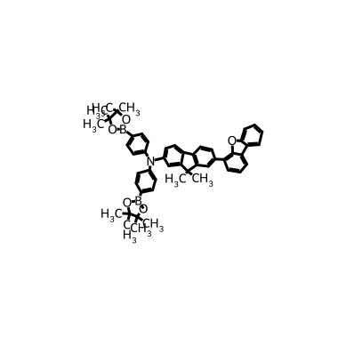 CC1(C)c2cc(-c3cccc4c3oc3ccccc34)ccc2-c2ccc(N(c3ccc(B4OC(C)(C)C(C)(C)O4)cc3)c3ccc(B4OC(C)(C)C(C)(C)O4)cc3)cc21